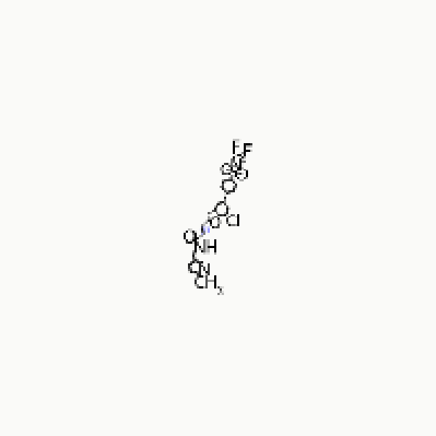 Cc1ccc(CNC(=O)/C=C/C2Cc3cc(-c4ccc(S(=O)(=O)N5CC(F)(F)C5)cc4)cc(Cl)c3O2)cn1